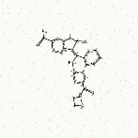 O=C1Nc2cc(C(=O)O)ccc2/C1=C(\Nc1ccc(C(=O)N2CCO2)cc1)c1ccccc1